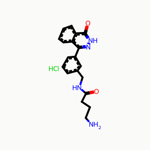 Cl.NCCCC(=O)NCc1cccc(-c2n[nH]c(=O)c3ccccc23)c1